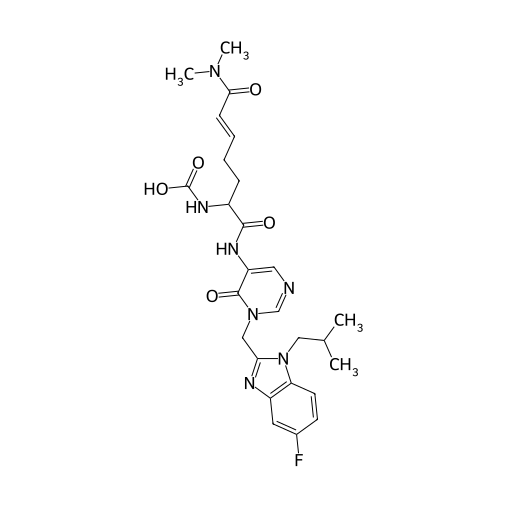 CC(C)Cn1c(Cn2cncc(NC(=O)C(CCC=CC(=O)N(C)C)NC(=O)O)c2=O)nc2cc(F)ccc21